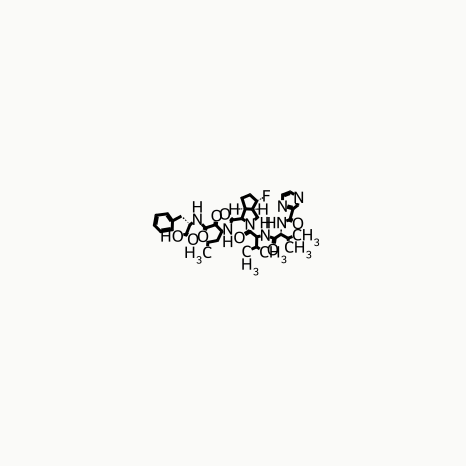 CCCC(NC(=O)C1[C@H]2CC[C@H](F)[C@H]2CN1C(=O)C(NC(=O)[C@H](NC(=O)c1cnccn1)C(C)C)C(C)C)C(=O)C(=O)N[C@@H](Cc1ccccc1)C(=O)O